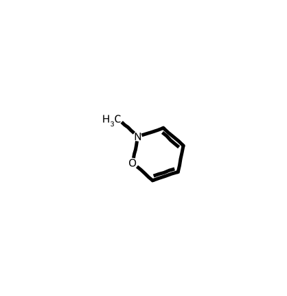 CN1C=CC=CO1